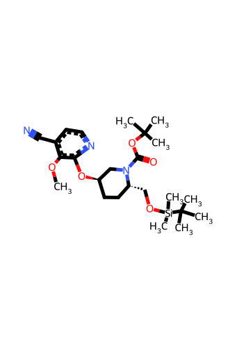 COc1c(C#N)ccnc1O[C@@H]1CC[C@@H](CO[Si](C)(C)C(C)(C)C)N(C(=O)OC(C)(C)C)C1